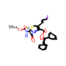 CC(C)(C)OC(=O)NC1C(=O)N2C(C(=O)OC(c3ccccc3)c3ccccc3)=C(/C=C/CI)CS[C@H]12